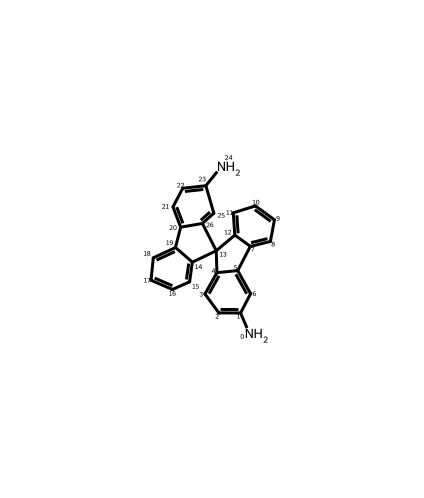 Nc1ccc2c(c1)-c1ccccc1C21c2ccccc2-c2ccc(N)cc21